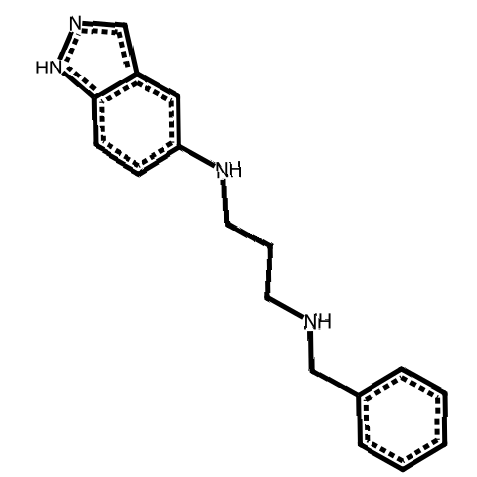 c1ccc(CNCCCNc2ccc3[nH]ncc3c2)cc1